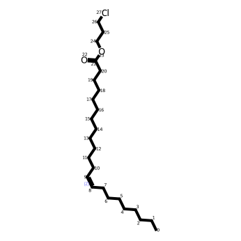 CCCCCCCC/C=C\CCCCCCCCCCCC(=O)OCCCCl